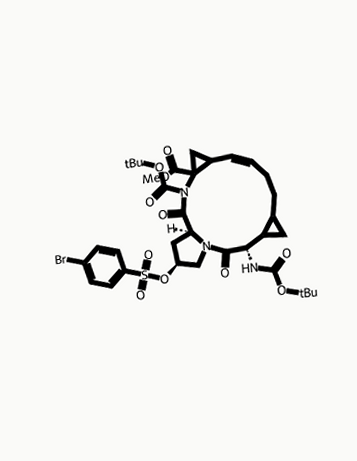 COC(=O)C12CC1/C=C\CCC1CC1[C@H](NC(=O)OC(C)(C)C)C(=O)N1C[C@@H](OS(=O)(=O)c3ccc(Br)cc3)C[C@H]1C(=O)N2C(=O)OC(C)(C)C